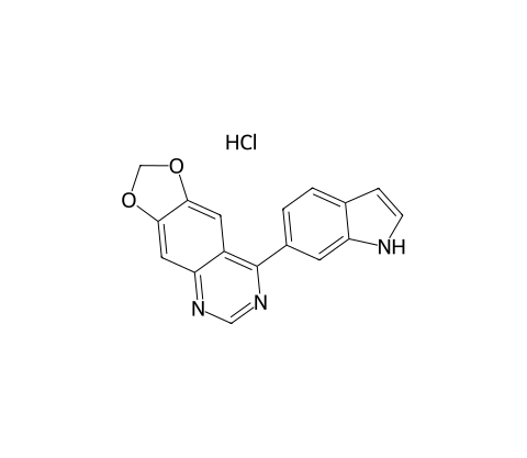 Cl.c1nc(-c2ccc3cc[nH]c3c2)c2cc3c(cc2n1)OCO3